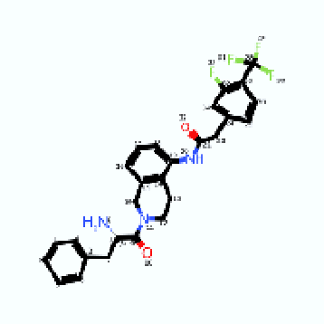 N[C@@H](Cc1ccccc1)C(=O)N1CCc2c(cccc2NC(=O)Cc2ccc(C(F)(F)F)c(F)c2)C1